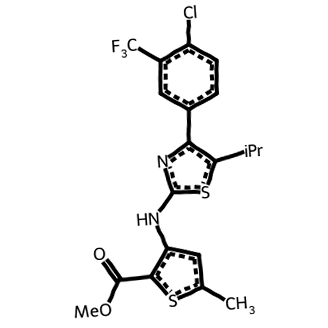 COC(=O)c1sc(C)cc1Nc1nc(-c2ccc(Cl)c(C(F)(F)F)c2)c(C(C)C)s1